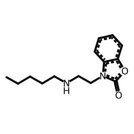 CCCCCNCCn1c(=O)oc2ccccc21